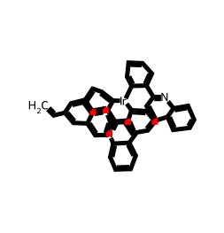 C=Cc1ccc2nc(-c3cccc[c]3[Ir]([c]3ccccc3-c3ccc4ccccc4n3)[c]3ccccc3-c3ccc4ccccc4n3)ccc2c1